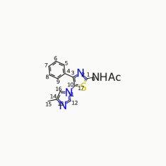 CC(=O)Nc1nc(-c2ccccc2)c(-n2cnc(C)c2)s1